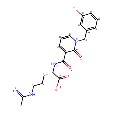 CC(=N)NCCC[C@H](NC(=O)c1cccn(Cc2cccc(I)c2)c1=O)C(=O)O